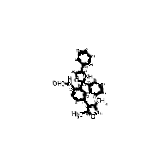 Cc1noc(C)c1-c1ccc(NC=O)c(C2(c3ccccc3)NC(c3ccccc3)=CO2)c1